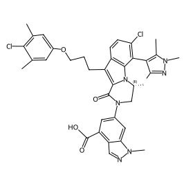 Cc1cc(OCCCc2c3n(c4c(-c5c(C)nn(C)c5C)c(Cl)ccc24)[C@H](C)CN(c2cc(C(=O)O)c4cnn(C)c4c2)C3=O)cc(C)c1Cl